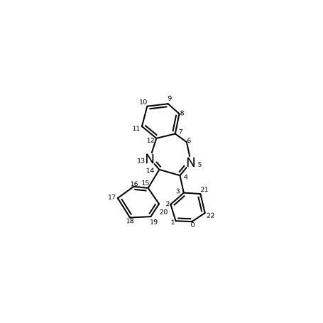 c1ccc(C2=NCc3ccccc3N=C2c2ccccc2)cc1